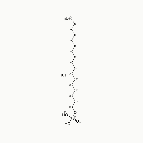 CCCCCCCCCCCCCCCCCCCCCCCCCCOP(=O)(O)O.[KH]